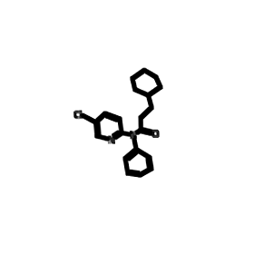 O=C(CCC1CCCCC1)N(c1ccccc1)c1ccc(Cl)cn1